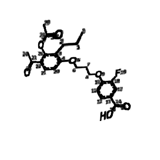 CCCc1c(OCCCOc2ccc(C(=O)O)cc2F)ccc(C(C)=O)c1OC(C)=O